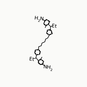 CCC(c1ccc(CCCCCCc2ccc(C(CC)c3ccc(N)cc3C)cc2)cc1)c1ccc(N)cc1C